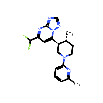 C[C@@H]1CCN(c2cccc(C(F)(F)F)n2)C[C@H]1c1cc(C(F)F)nc2ncnn12